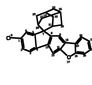 Clc1ccc2c(c1)C1(c3cc4c(cc3-2)oc2ccccc24)C2CC3CC(C2)CC1C3